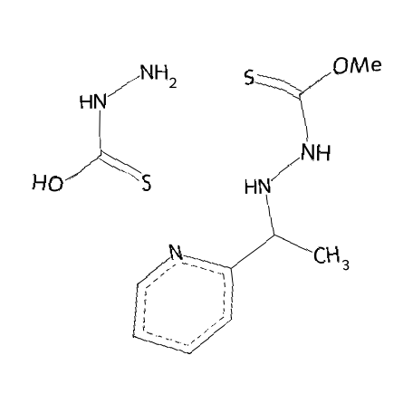 COC(=S)NNC(C)c1ccccn1.NNC(O)=S